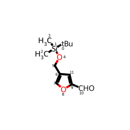 CC(C)(C)[Si](C)(C)OCc1coc(C=O)c1